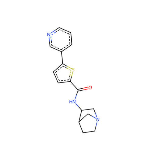 O=C(NC1CN2CCC1C2)c1ccc(-c2cccnc2)s1